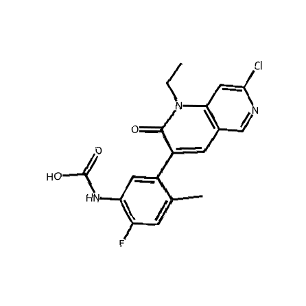 CCn1c(=O)c(-c2cc(NC(=O)O)c(F)cc2C)cc2cnc(Cl)cc21